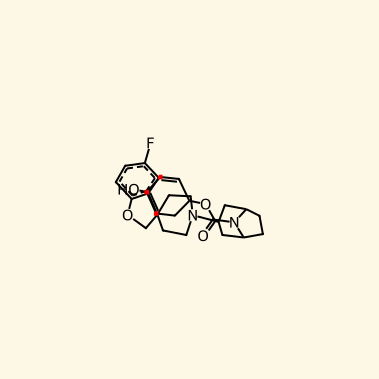 O=C(OC1C=CC(O)=CC1)N1C2CCC1CC(N1CCC3(CC1)COc1ccc(F)cc13)C2